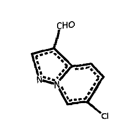 O=Cc1cnn2cc(Cl)ccc12